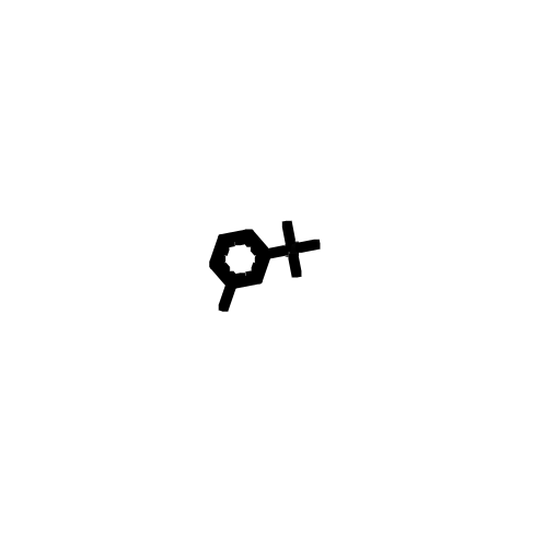 Cc1cccc([Si](C)(C)C)c1